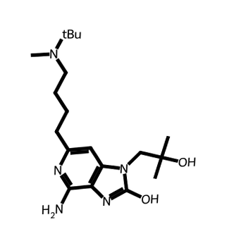 CN(CCCCc1cc2c(nc(O)n2CC(C)(C)O)c(N)n1)C(C)(C)C